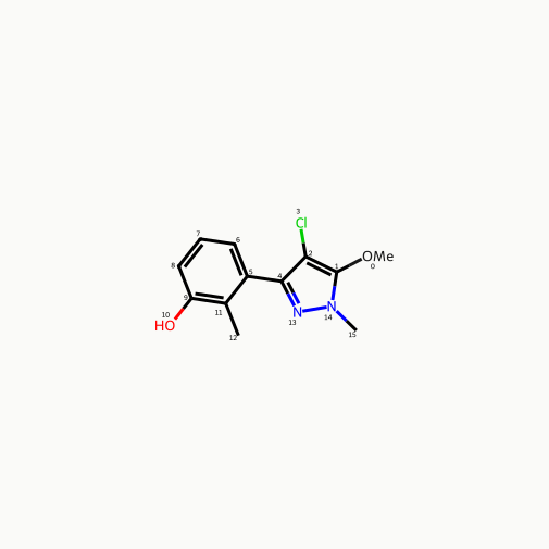 COc1c(Cl)c(-c2cccc(O)c2C)nn1C